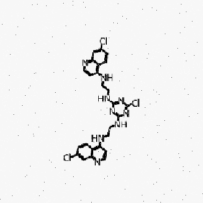 Clc1ccc2c(NCCNc3nc(Cl)nc(NCCNc4ccnc5cc(Cl)ccc45)n3)ccnc2c1